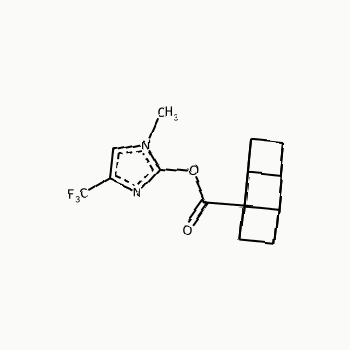 Cn1cc(C(F)(F)F)nc1OC(=O)C12C3C4C5C3C1C5C42